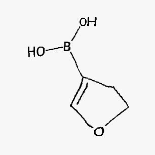 OB(O)C1=COCC1